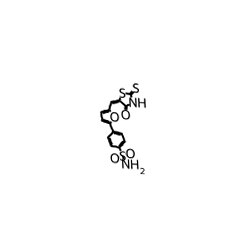 NS(=O)(=O)c1ccc(-c2ccc(C=C3SC(=S)NC3=O)o2)cc1